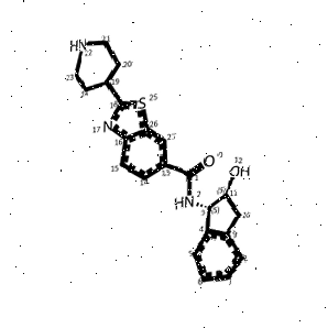 O=C(N[C@H]1c2ccccc2C[C@@H]1O)c1ccc2nc(C3CCNCC3)sc2c1